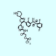 O=C(COC(=O)C(F)(F)F)Nc1nccc(-c2sc(C3CCCNC3)nc2-c2cccc(NS(=O)(=O)c3cc(F)ccc3F)c2F)n1